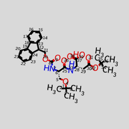 CC(C)(C)OC[C@H](NC(=O)OCC1c2ccccc2-c2ccccc21)C(=O)N[C@@H](CC(=O)OC(C)(C)C)C(=O)O